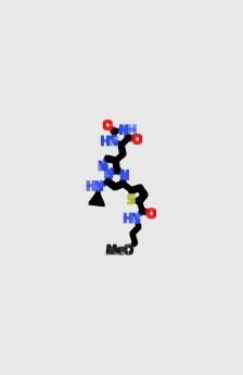 COCCCNC(=O)c1ccc(-c2cc(NC3CC3)n3ncc(C=C4NC(=O)NC4=O)c3n2)s1